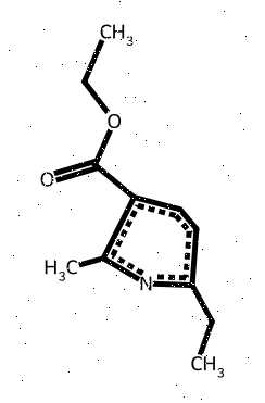 CCOC(=O)c1ccc(CC)nc1C